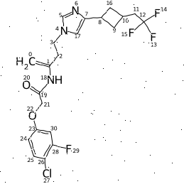 C=C(CCn1cnc(C2CC(CC(F)(F)F)C2)c1)NC(=O)COc1ccc(Cl)c(F)c1